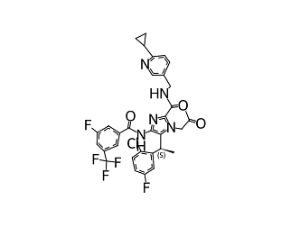 CC(=O)Cn1c(C(=O)NCc2ccc(C3CC3)nc2)nc(NC(=O)c2cc(F)cc(C(F)(F)F)c2)c1[C@@H](C)c1cc(F)ccc1Cl